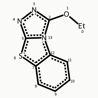 CCOc1nnc2sc3ccccc3n12